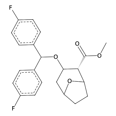 COC(=O)[C@@H]1C2CCC(CC1OC(c1ccc(F)cc1)c1ccc(F)cc1)O2